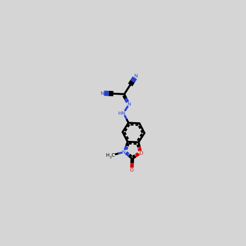 Cn1c(=O)oc2ccc(NN=C(C#N)C#N)cc21